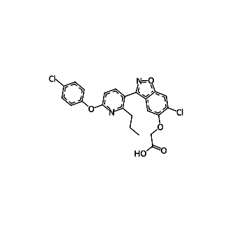 CCCc1nc(Oc2ccc(Cl)cc2)ccc1-c1noc2cc(Cl)c(OCC(=O)O)cc12